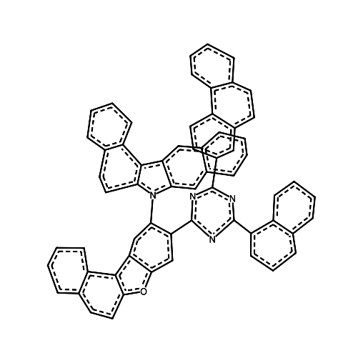 c1ccc2cc3c(cc2c1)c1c2ccccc2ccc1n3-c1cc2c(cc1-c1nc(-c3ccc4c(ccc5ccccc54)c3)nc(-c3cccc4ccccc34)n1)oc1ccc3ccccc3c12